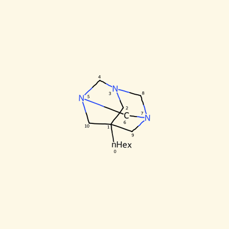 CCCCCCC12CN3CN(CN(C3)C1)C2